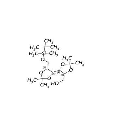 CC1(C)O[C@@H]([C@@H]2OC(C)(C)O[C@@H]2CO[Si](C)(C)C(C)(C)C)[C@@H](CO)O1